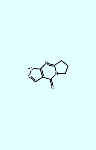 O=c1c2cn[nH]c2nc2n1CCC2